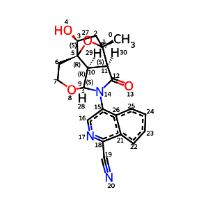 C[C@@]12C[C@H](O)[C@]3(CCO[C@H]4[C@@H]3[C@@H]1C(=O)N4c1cnc(C#N)c3ccccc13)O2